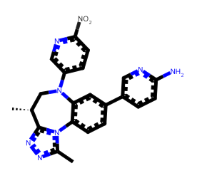 Cc1nnc2n1-c1ccc(-c3ccc(N)nc3)cc1N(c1ccc([N+](=O)[O-])nc1)C[C@H]2C